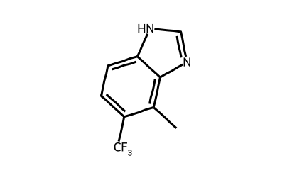 Cc1c(C(F)(F)F)ccc2[nH]cnc12